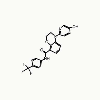 O=C(Nc1ccc(C(F)(F)F)cc1)c1cccc2c1OCCN2c1ccc(O)cn1